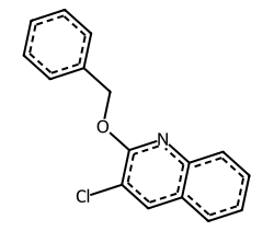 Clc1cc2ccccc2nc1OCc1ccccc1